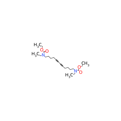 CCOC(=O)N(CC)CCCCC#CC#CCCCCN(CC)C(=O)OCC